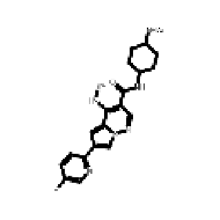 CC(=O)NC1CCC(NC(=O)c2cnn3cc(-c4ccc(F)cn4)cc3c2NC(C)C)CC1